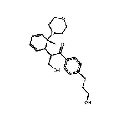 CC1(N2CCOCC2)C=CC=CC1C(CO)C(=O)c1ccc(SCCO)cc1